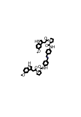 COc1ccc2[nH]cc(CC(=O)N3CCC[C@H]3C(=O)Nc3ccc(/C=C/c4ccc(NC(=O)[C@@H]5CCCN5C(=O)Cc5c[nH]c6ccc(OC)cc56)cc4)cc3)c2c1